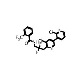 O=C(NCC(F)(F)Cc1ncc(-c2cccnc2Cl)cc1Cl)c1ccccc1C(F)(F)F